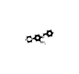 Nc1cc(N2CC[N]CC2)ccc1OCc1ccccc1